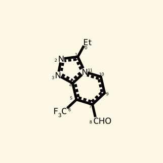 CCc1nnc2c(C(F)(F)F)c(C=O)ccn12